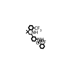 CC1(C)CC(c2cccc(NS(=O)(=O)c3ccccc3F)c2)Nc2c(C(F)(F)F)cccc21